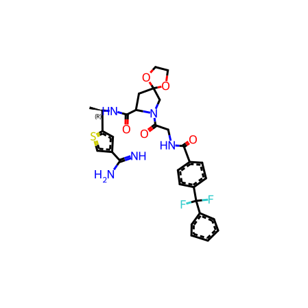 C[C@@H](NC(=O)C1CC2(CN1C(=O)CNC(=O)c1ccc(C(F)(F)c3ccccc3)cc1)OCCO2)c1cc(C(=N)N)cs1